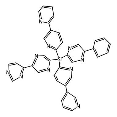 c1ccc(-c2cnc([Si](c3ccc(-c4cccnc4)cn3)(c3ccc(-c4ccccn4)cn3)c3cnc(-c4ccncn4)cn3)cn2)cc1